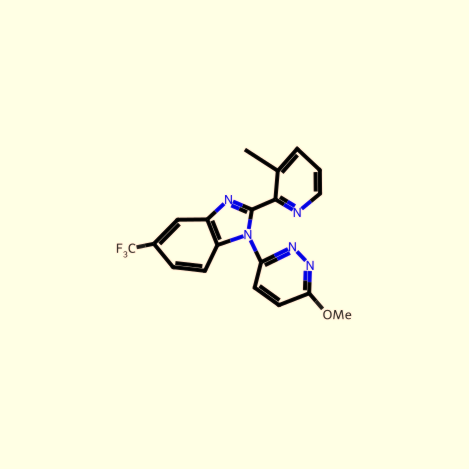 COc1ccc(-n2c(-c3ncccc3C)nc3cc(C(F)(F)F)ccc32)nn1